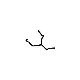 CCC(C[O])SC